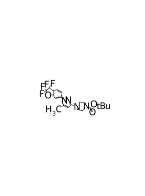 Cc1cc(N2CCN(C(=O)OC(C)(C)C)CC2)nn1-c1ccc2c(c1)OC(F)(F)C2(F)F